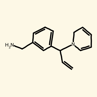 C=CC(c1cccc(CN)c1)N1C=CC=CC1